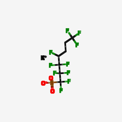 O=S(=O)([O-])C(F)(F)C(F)(F)C(F)(F)C(F)CCC(F)(F)F.[K+]